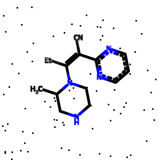 CCC(=C(C#N)c1ncccn1)N1CCNCC1C